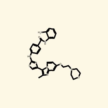 Cc1nc2cc(OCCN3CCOCC3)ccn2c1-c1csc(Nc2ccc(C(=O)Nc3ccccc3N)cc2)n1